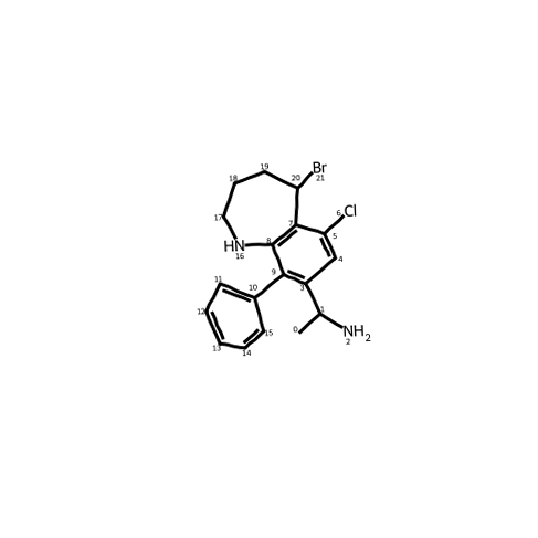 CC(N)c1cc(Cl)c2c(c1-c1ccccc1)NCCCC2Br